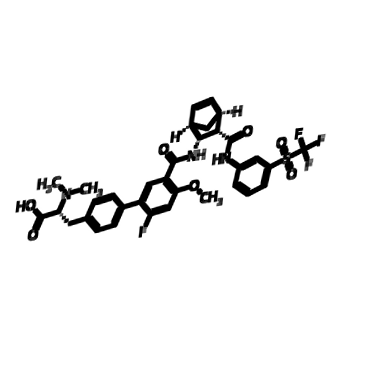 COc1cc(F)c(-c2ccc(C[C@H](C(=O)O)N(C)C)cc2)cc1C(=O)N[C@H]1[C@@H](C(=O)Nc2cccc(S(=O)(=O)C(F)(F)F)c2)[C@@H]2C=C[C@H]1C2